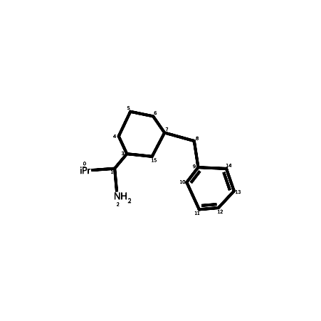 CC(C)C(N)C1CCCC(Cc2ccccc2)C1